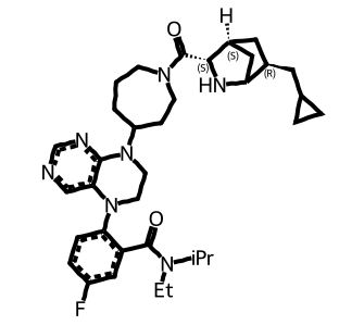 CCN(C(=O)c1cc(F)ccc1N1CCN(C2CCCN(C(=O)[C@H]3NC4C[C@@H]3C[C@H]4CC3CC3)CC2)c2ncncc21)C(C)C